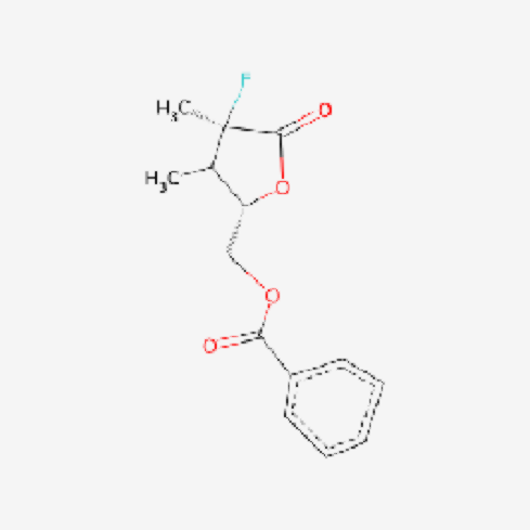 CC1[C@@H](COC(=O)c2ccccc2)OC(=O)[C@]1(C)F